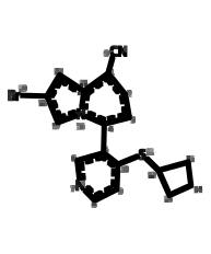 N#Cc1ccc(-c2cnccc2SC2CCC2)n2cc(Br)cc12